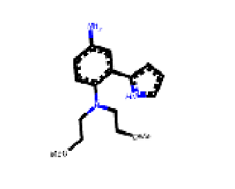 COCCN(CCOC)c1ccc(N)cc1-c1ccc[nH]1